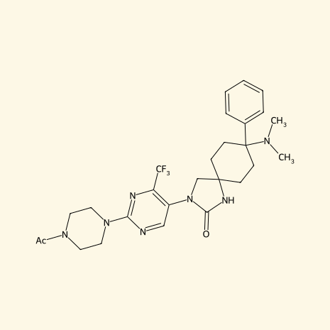 CC(=O)N1CCN(c2ncc(N3CC4(CCC(c5ccccc5)(N(C)C)CC4)NC3=O)c(C(F)(F)F)n2)CC1